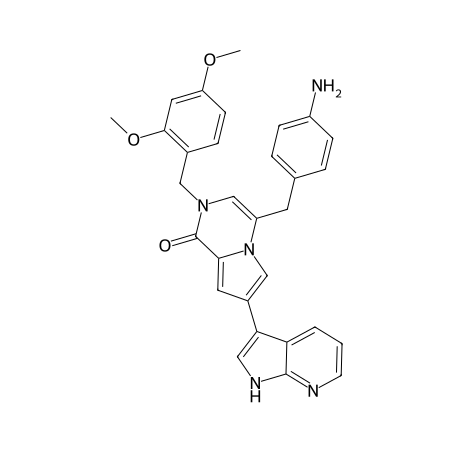 COc1ccc(Cn2cc(Cc3ccc(N)cc3)n3cc(-c4c[nH]c5ncccc45)cc3c2=O)c(OC)c1